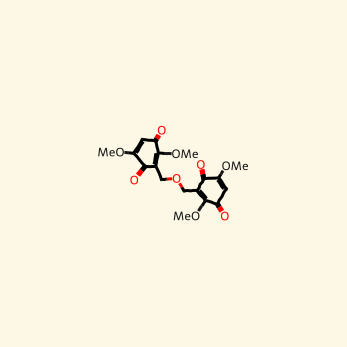 COC1=CC(=O)C(OC)=C(COCC2=C(OC)C(=O)C=C(OC)C2=O)C1=O